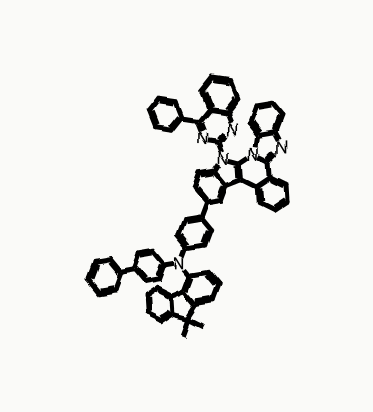 CC1(C)c2ccccc2-c2c(N(c3ccc(-c4ccccc4)cc3)c3ccc(-c4ccc5c(c4)c4c6ccccc6c6nc7ccccc7n6c4n5-c4nc(-c5ccccc5)c5ccccc5n4)cc3)cccc21